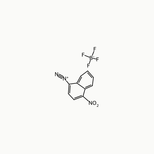 F[B-](F)(F)F.N#[N+]c1ccc([N+](=O)[O-])c2ccccc12